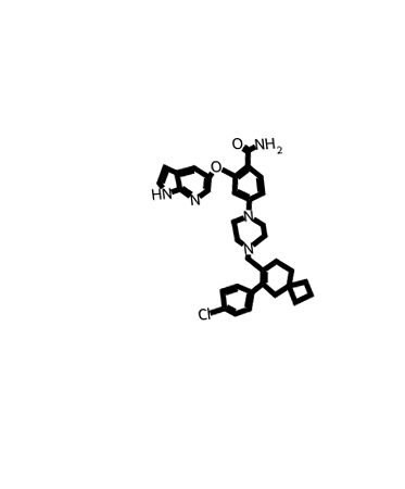 NC(=O)c1ccc(N2CCN(CC3=C(c4ccc(Cl)cc4)CC4(CCC4)CC3)CC2)cc1Oc1cnc2[nH]ccc2c1